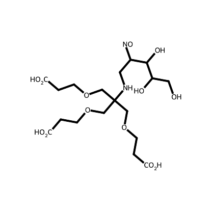 O=NC(CNC(COCCC(=O)O)(COCCC(=O)O)COCCC(=O)O)C(O)C(O)CO